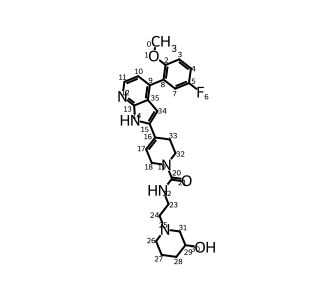 COc1ccc(F)cc1-c1ccnc2[nH]c(C3=CCN(C(=O)NCCN4CCCC(O)C4)CC3)cc12